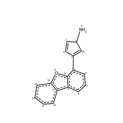 NC1C=CC(c2cccc3c2oc2ccccc23)=C1